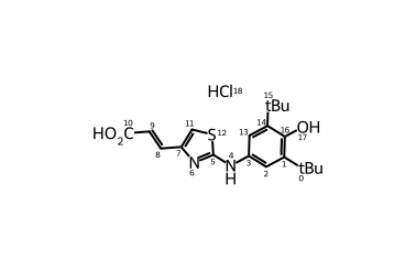 CC(C)(C)c1cc(Nc2nc(/C=C/C(=O)O)cs2)cc(C(C)(C)C)c1O.Cl